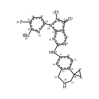 CCn1c(=O)c2cnc(Nc3ccc4c(c3)CNCC43CC3)nc2n1-c1ccc(F)c(C(C)(C)C)n1